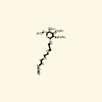 CC(=O)N[C@H]1[C@H](OCCOCCOCCN=[N+]=[N-])O[C@H](COC(C)=O)[C@H](OC(C)=O)[C@@H]1OC(C)=O